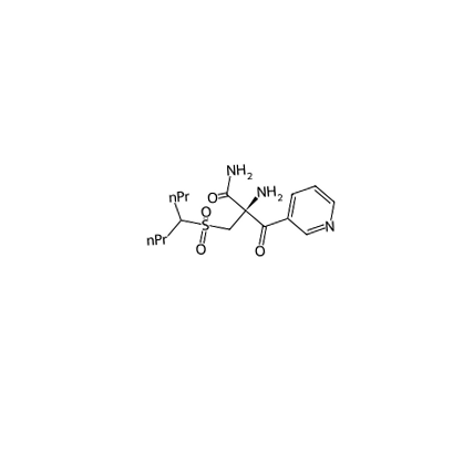 CCCC(CCC)S(=O)(=O)C[C@](N)(C(N)=O)C(=O)c1cccnc1